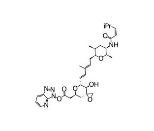 CC(/C=C/[C@H]1O[C@H](CC(=O)On2nnc3cccnc32)C[C@@]2(CO2)[C@@H]1O)=C\C[C@@H]1O[C@H](C)[C@H](NC(=O)/C=C\C(C)C)C[C@@H]1C